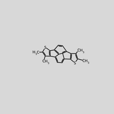 Cc1sc2c(c1C)-c1ccc3c4c(ccc-2c14)-c1c-3sc(C)c1C